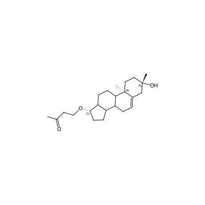 CC(=O)CCO[C@H]1CCC2C3CC=C4C[C@@](C)(O)CC[C@]4(C)C3CCC21